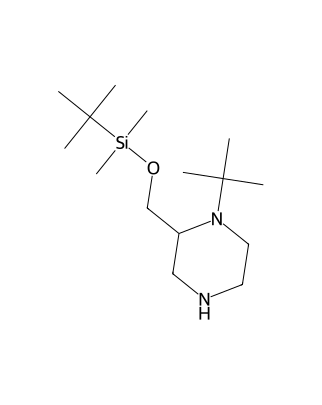 CC(C)(C)N1CCNCC1CO[Si](C)(C)C(C)(C)C